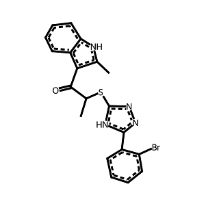 Cc1[nH]c2ccccc2c1C(=O)C(C)Sc1nnc(-c2ccccc2Br)[nH]1